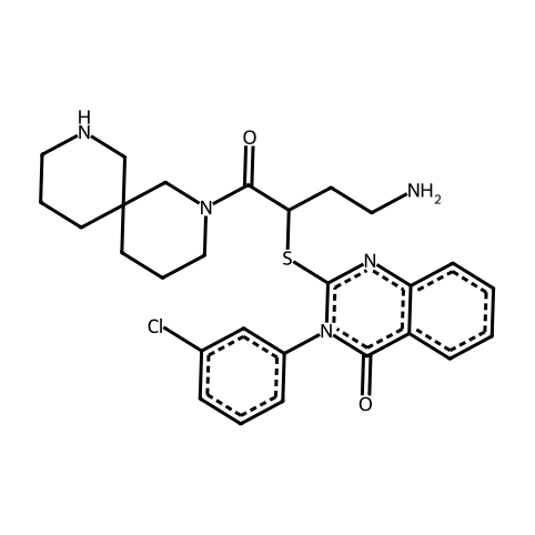 NCCC(Sc1nc2ccccc2c(=O)n1-c1cccc(Cl)c1)C(=O)N1CCCC2(CCCNC2)C1